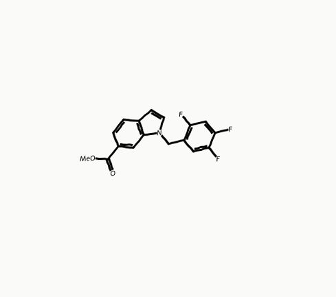 COC(=O)c1ccc2ccn(Cc3cc(F)c(F)cc3F)c2c1